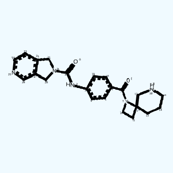 O=C(Nc1ccc(C(=O)N2CCC23CCCNC3)cc1)N1Cc2ccncc2C1